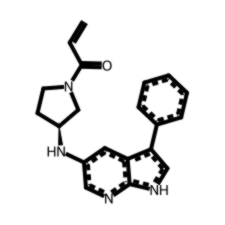 C=CC(=O)N1CC[C@H](Nc2cnc3[nH]cc(-c4ccccc4)c3c2)C1